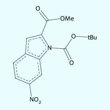 COC(=O)c1cc2ccc([N+](=O)[O-])cc2n1C(=O)OC(C)(C)C